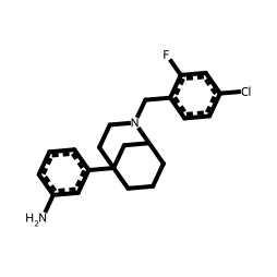 Nc1cccc(C23CCCC(C2)N(Cc2ccc(Cl)cc2F)CC3)c1